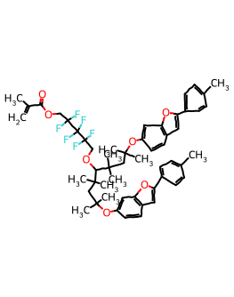 C=C(C)C(=O)OCC(F)(F)C(F)(F)C(F)(F)COC(C(C)(C)CC(C)(C)Oc1ccc2cc(-c3ccc(C)cc3)oc2c1)C(C)(C)CC(C)(C)Oc1ccc2cc(-c3ccc(C)cc3)oc2c1